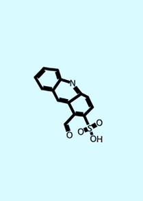 O=Cc1c(S(=O)(=O)O)ccc2nc3ccccc3cc12